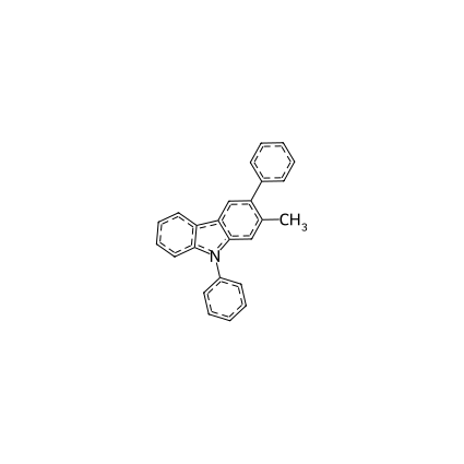 Cc1cc2c(cc1-c1ccccc1)c1ccccc1n2-c1ccccc1